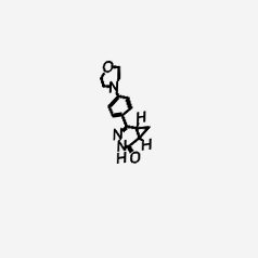 O=C1NN=C(c2ccc(N3CCOCC3)cc2)[C@@H]2C[C@H]12